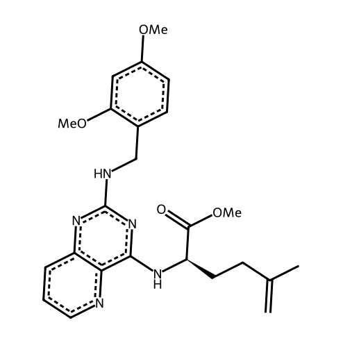 C=C(C)CC[C@@H](Nc1nc(NCc2ccc(OC)cc2OC)nc2cccnc12)C(=O)OC